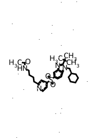 CC(=O)NCCCCc1cc(S(=O)(=O)c2ccc3c(c2)nc(C(C)(C)C)n3CC2CCCCC2)ccn1